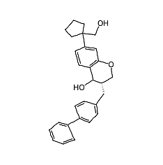 OCC1(c2ccc3c(c2)OC[C@H](Cc2ccc(-c4ccccc4)cc2)C3O)CCCC1